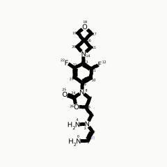 N/C=C\N(N)CC1CN(c2cc(F)c(N3CC4(COC4)C3)c(F)c2)C(=O)O1